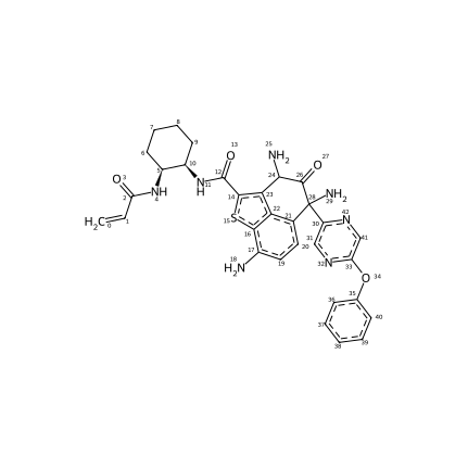 C=CC(=O)N[C@H]1CCCC[C@H]1NC(=O)c1sc2c(N)ccc3c2c1C(N)C(=O)C3(N)c1cnc(Oc2ccccc2)cn1